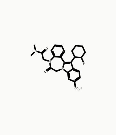 CN(C)C(=O)CN1C(=O)Cn2c(c(C3CCCCC3F)c3ccc(C(=O)O)cc32)-c2ccccc21